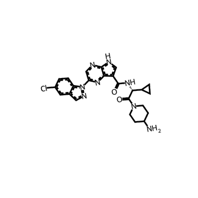 NC1CCN(C(=O)[C@H](NC(=O)c2c[nH]c3ncc(-n4ncc5cc(Cl)ccc54)nc23)C2CC2)CC1